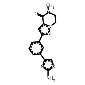 CN1CCn2nc(-c3cccc(-c4csc(N)n4)c3)cc2C1=O